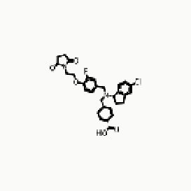 O=C1CCC(=O)N1CCOc1ccc(CN(C[C@H]2CC[C@H](C(=O)O)CC2)[C@H]2CCc3cc(Cl)ccc32)cc1F